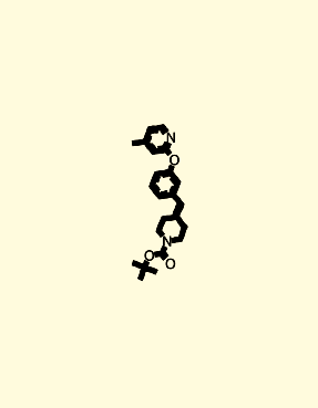 Cc1ccnc(Oc2cccc(C=C3CCN(C(=O)OC(C)(C)C)CC3)c2)c1